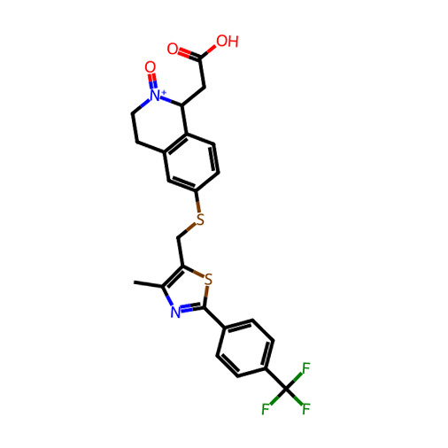 Cc1nc(-c2ccc(C(F)(F)F)cc2)sc1CSc1ccc2c(c1)CC[N+](=O)C2CC(=O)O